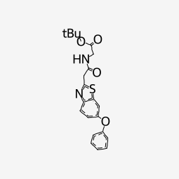 CC(C)(C)OC(=O)CNC(=O)Cc1nc2ccc(Oc3ccccc3)cc2s1